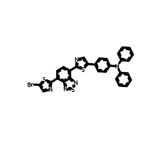 Brc1cnc(-c2ccc(-c3ncc(-c4ccc(N(c5ccccc5)c5ccccc5)cc4)s3)c3nsnc23)s1